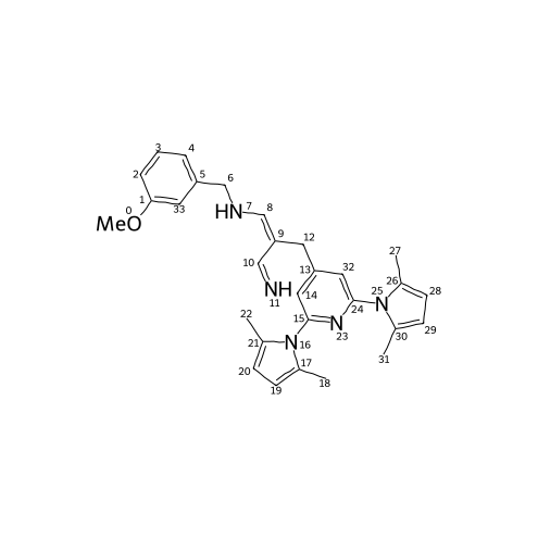 COc1cccc(CN/C=C(\C=N)Cc2cc(-n3c(C)ccc3C)nc(-n3c(C)ccc3C)c2)c1